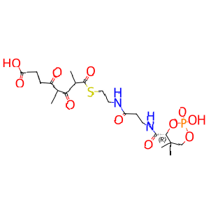 CC(C(=O)CCC(=O)O)C(=O)C(C)C(=O)SCCNC(=O)CCNC(=O)[C@@H]1OP(=O)(O)OCC1(C)C